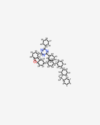 CC1(C)c2ccccc2-c2ccc(-c3cccc(-c4ccc(-c5ccc6oc7cccc(-c8nc(-c9ccccc9)nc(-c9ccccc9)n8)c7c6c5)cc4)c3)cc21